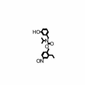 CCc1cc(N=O)ccc1COC(=O)N(Cc1cccc(O)c1)C(C)C